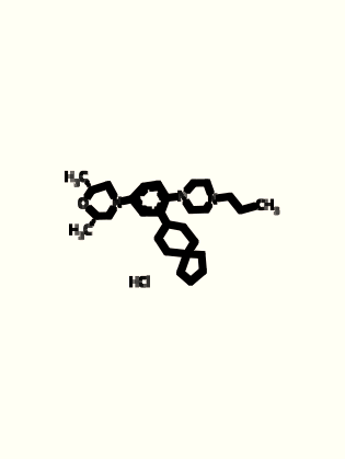 CCCN1CCN(c2ccc(N3C[C@@H](C)O[C@@H](C)C3)cc2C2CCC3(CCCC3)CC2)CC1.Cl